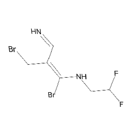 N=C/C(CBr)=C(/Br)NCC(F)F